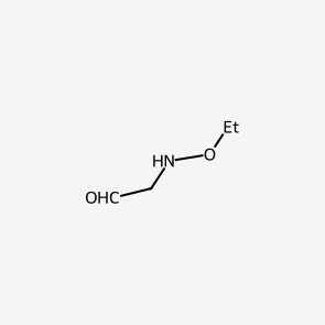 CCONCC=O